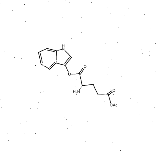 CC(=O)OC(=O)CC[C@H](N)C(=O)Oc1c[nH]c2ccccc12